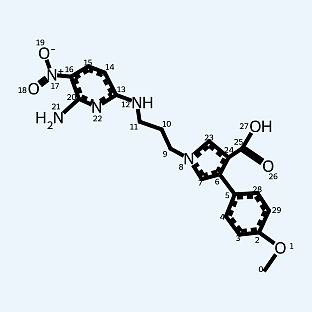 COc1ccc(-c2cn(CCCNc3ccc([N+](=O)[O-])c(N)n3)cc2C(=O)O)cc1